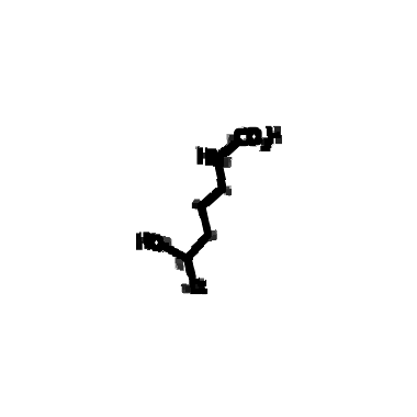 CCC(O)CCCNC(=O)O